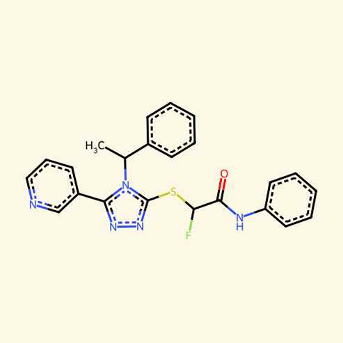 CC(c1ccccc1)n1c(SC(F)C(=O)Nc2ccccc2)nnc1-c1cccnc1